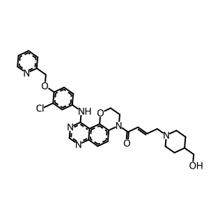 O=C(/C=C/CN1CCC(CO)CC1)N1CCOc2c1ccc1ncnc(Nc3ccc(OCc4ccccn4)c(Cl)c3)c21